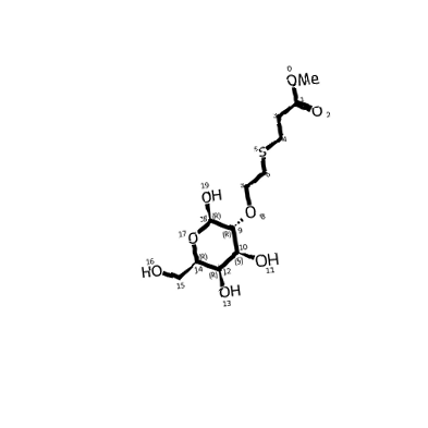 COC(=O)CCSCCO[C@@H]1[C@@H](O)[C@@H](O)[C@@H](CO)O[C@H]1O